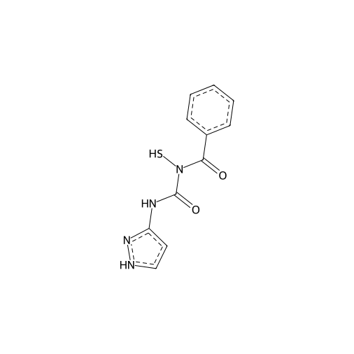 O=C(Nc1cc[nH]n1)N(S)C(=O)c1ccccc1